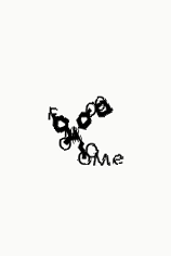 COC(=O)CC[C@H]1C(=O)N(c2ccc(F)cc2)[C@@H]1c1ccc(OC2CCCCO2)cc1